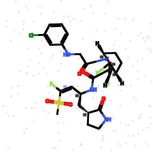 CS(=O)(=O)/C(F)=C\[C@H](C[C@H]1CCNC1=O)NC(=O)[C@H]1[C@H]2CC[C@H](CC2(F)F)N1C(=O)CNc1cccc(Cl)c1